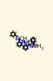 C/C(=N\Cc1ccccc1)c1cccc2c1nnc1c(/C(C)=N/C(C)c3ccccc3)cccc12